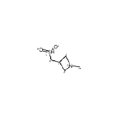 CN1CC(C[SH](=O)=O)C1